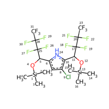 C[Si](C)(C)OC(c1cc(Cl)c(C(O[Si](C)(C)C)C(F)(F)C(F)(F)C(F)(F)F)[nH]1)C(F)(F)C(F)(F)C(F)(F)F